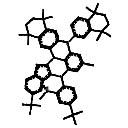 Cc1cc2c3c(c1)N(c1ccc(C(C)(C)C)cc1[SiH](C)C)c1c(sc4ccc(C(C)(C)C)cc14)B3c1cc3c(cc1N2c1ccc2c(c1)C(C)(C)CCC2(C)C)C(C)(C)CCC3(C)C